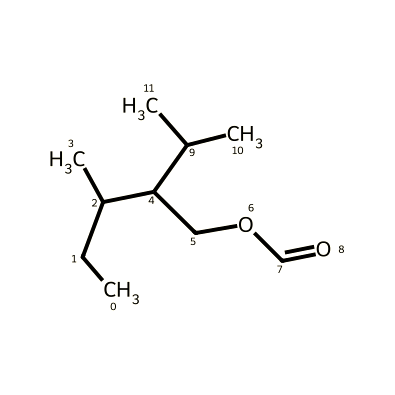 CCC(C)C(COC=O)C(C)C